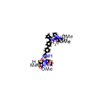 COC(=O)N[C@H](C(=O)N1CC2(C[C@H]1c1ncc(-c3ccc(-c4ccc(-c5[nH]c([C@@H]6CCCN6C(=O)[C@@H](NC(C)OC)[C@@H](C)OC)c6c5CCC6)cc4)cc3)[nH]1)OCCO2)[C@@H](C)OC